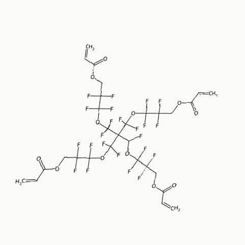 C=CC(=O)OCC(F)(F)C(F)(F)OC(F)C(C(F)(F)OC(F)(F)C(F)(F)COC(=O)C=C)(C(F)(F)OC(F)(F)C(F)(F)COC(=O)C=C)C(F)(F)OC(F)(F)C(F)(F)COC(=O)C=C